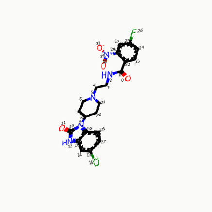 O=C(NCCN1CCC(n2c(=O)[nH]c3cc(Cl)ccc32)CC1)c1ccc(F)cc1[N+](=O)[O-]